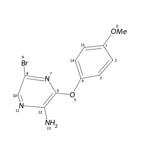 COc1ccc(Oc2nc(Br)cnc2N)cc1